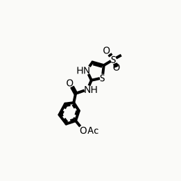 CC(=O)Oc1cccc(C(=O)NC2NC=C(S(C)(=O)=O)S2)c1